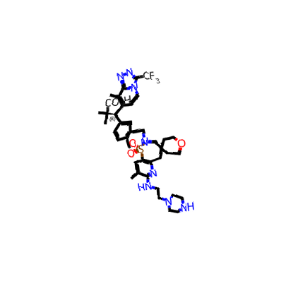 Cc1ccc([C@H](c2ccn3c(C(F)(F)F)nnc3c2C)C(C)(C)C(=O)O)cc1CN1CC2(CCOCC2)Cc2nc(NCCN3CCNCC3)c(C)cc2S1(=O)=O